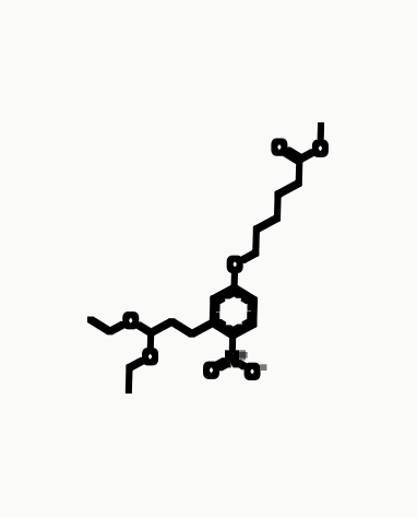 CCOC(CCc1cc(OCCCCCC(=O)OC)ccc1[N+](=O)[O-])OCC